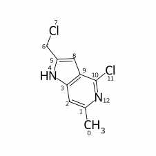 Cc1cc2[nH]c(CCl)cc2c(Cl)n1